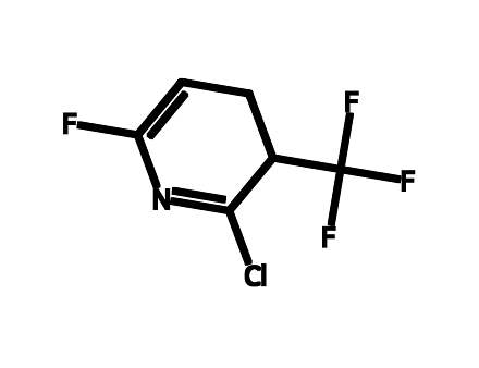 FC1=CCC(C(F)(F)F)C(Cl)=N1